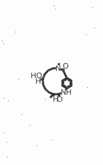 C[C@@H]1CCC[C@H](O)CCCN(C)C(=O)c2ccc(cc2)NC1=O